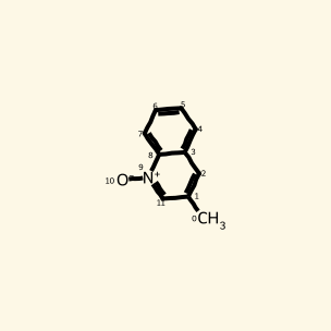 Cc1cc2ccccc2[n+]([O-])c1